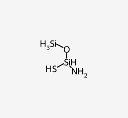 N[SiH](S)O[SiH3]